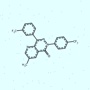 Cc1cnc2c(-c3cccc(C(F)(F)F)c3)nn(-c3ccc(C(F)(F)F)cc3)c(=O)c2c1